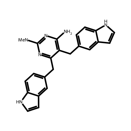 CNc1nc(N)c(Cc2ccc3[nH]ccc3c2)c(Cc2ccc3[nH]ccc3c2)n1